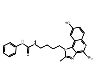 Cc1nc2c(N)nc3ccc(O)cc3c2n1CCCCNC(=O)Nc1ccccc1